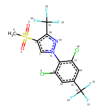 CS(=O)(=O)c1cn(-c2c(Cl)cc(C(F)(F)F)cc2Cl)nc1C(F)(F)F